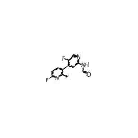 O=CNc1cc(-c2ccc(F)nc2F)c(F)cn1